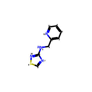 c1ccc(CNc2ncsn2)nc1